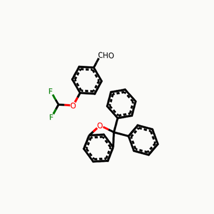 O=Cc1ccc(OC(F)F)cc1.c1ccc(C2(c3ccccc3)Oc3cccc2c3)cc1